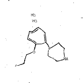 Cl.Cl.FCCOc1ccccc1N1CCNCC1